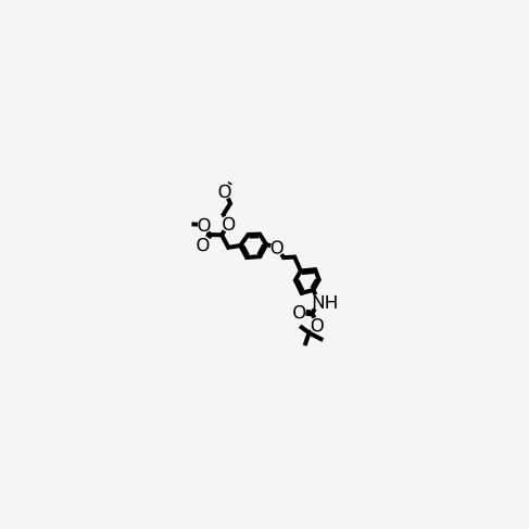 COCCOC(Cc1ccc(OCCc2ccc(NC(=O)OC(C)(C)C)cc2)cc1)C(=O)OC